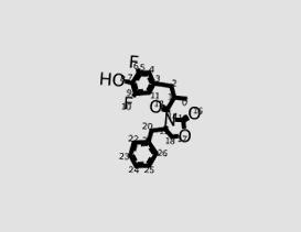 CC(Cc1cc(F)c(O)c(F)c1)C(=O)N1C(=O)OCC1Cc1ccccc1